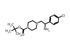 CC(C)(C)OC(=O)N1CCN(CC(N)c2ccc(Cl)cc2)CC1